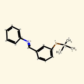 C[Si](C)(C)Sc1cccc(C=Nc2ccccc2)c1